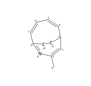 CC1=CC2/C=C\C=C/C(=N1)CC2